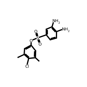 Cc1cc(OS(=O)(=O)c2ccc(N)c(N)c2)cc(C)c1Cl